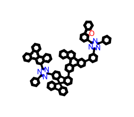 c1ccc(-c2nc(-c3ccc4c(c3)C3(c5ccccc5-c5ccccc53)c3cccc(-c5ccc6c(c5)c5ccc(-c7cccc(-c8nc(-c9ccccc9)nc(-c9cccc%10c9oc9ccccc9%10)n8)c7)cc5c5ccc7ccccc7c56)c3-4)nc(-c3cc4c5ccccc5c5ccccc5c4c4ccccc34)n2)cc1